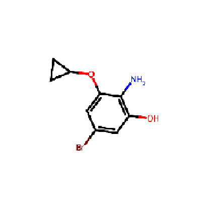 Nc1c(O)cc(Br)cc1OC1CC1